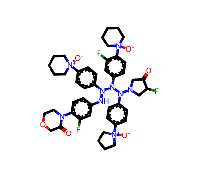 O=C1CN(N(c2ccc([N+]3([O-])CCCC3)cc2)N(c2ccc([N+]3([O-])CCCCC3)c(F)c2)N(Nc2ccc(N3CCOCC3=O)c(F)c2)c2ccc([N+]3([O-])CCCCC3)cc2)CC1F